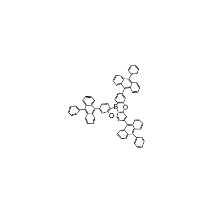 c1ccc(-c2c3ccccc3c(-c3ccc4c(c3)Oc3cc(-c5c6ccccc6c(-c6ccccc6)c6ccccc56)cc5c3B4c3ccc(-c4c6ccccc6c(-c6ccccc6)c6ccccc46)cc3O5)c3ccccc23)cc1